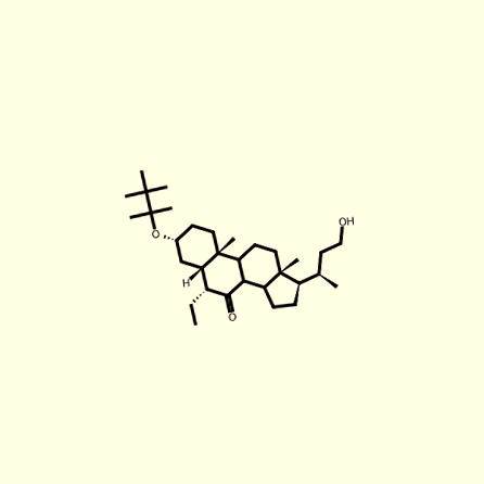 CC[C@H]1C(=O)C2C3CC[C@H]([C@H](C)CCO)[C@@]3(C)CCC2[C@@]2(C)CC[C@@H](OC(C)(C)C(C)(C)C)C[C@@H]12